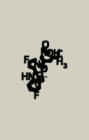 CCCCC(CN(O)C=O)C(=O)N1CC(F)CC1C(=O)Nc1ccc(F)c[n+]1[O-]